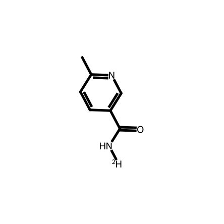 [2H]NC(=O)c1ccc(C)nc1